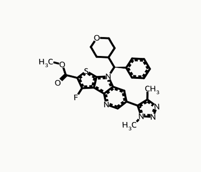 COC(=O)c1sc2c(c1F)c1ncc(-c3c(C)nnn3C)cc1n2[C@H](c1ccccc1)C1CCOCC1